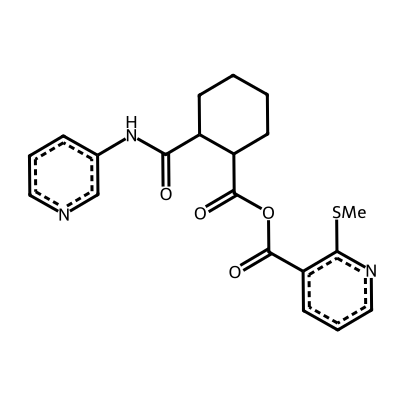 CSc1ncccc1C(=O)OC(=O)C1CCCCC1C(=O)Nc1cccnc1